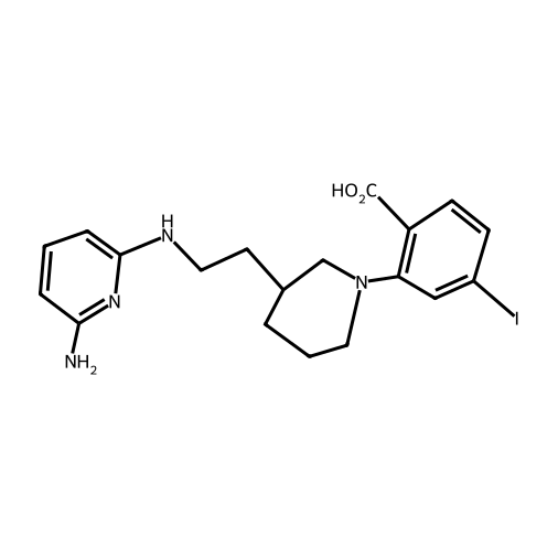 Nc1cccc(NCCC2CCCN(c3cc(I)ccc3C(=O)O)C2)n1